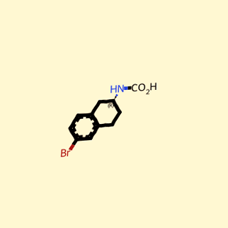 O=C(O)N[C@@H]1CCc2cc(Br)ccc2C1